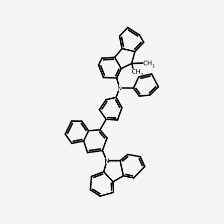 CC1(C)c2ccccc2-c2cccc(N(c3ccccc3)c3ccc(-c4cc(-n5c6ccccc6c6ccccc65)cc5ccccc45)cc3)c21